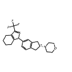 FC(F)(F)c1nn(-c2ccc3c(c2)C[C@H](N2CCOCC2)C3)c2c1CCCC2